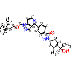 CC(C)(O)[C@H]1CC[C@H](NC(=O)c2ccc(-c3nccc4c3cnn4COCC[Si](C)(C)C)cc2)CC1